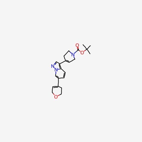 CC(C)(C)OC(=O)N1CC=C(c2cnn3cc(C4=CCOCC4)ccc23)CC1